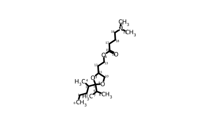 CCCC(C)C1(C(C)C)OCC(CCOC(=O)CCCN(C)C)O1